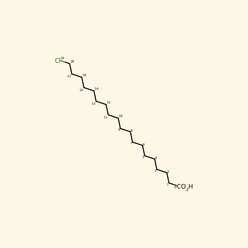 O=C(O)CCCCCCCCCCCCCCCCCCCl